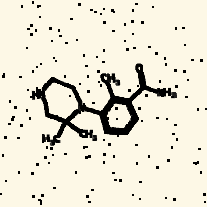 Cc1c(C(N)=O)cccc1N1CCNCC1(C)C